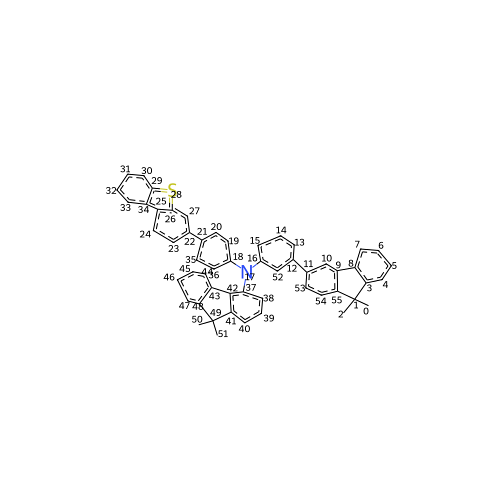 CC1(C)c2ccccc2-c2cc(-c3cccc(N(c4ccc(-c5ccc6c(c5)sc5ccccc56)cc4)c4cccc5c4-c4ccccc4C5(C)C)c3)ccc21